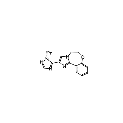 CC(C)n1ncnc1-c1cn2c(n1)-c1c[c]ccc1OCC2